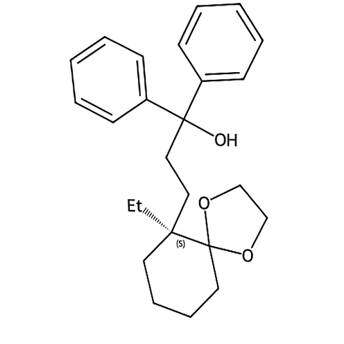 CC[C@@]1(CCC(O)(c2ccccc2)c2ccccc2)CCCCC12OCCO2